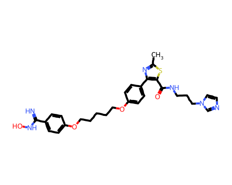 Cc1nc(-c2ccc(OCCCCCOc3ccc(C(=N)NO)cc3)cc2)c(C(=O)NCCCn2ccnc2)s1